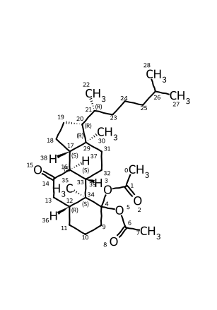 CC(=O)OC1(OC(C)=O)CCC[C@@H]2CC(=O)[C@H]3[C@@H]4CC[C@H]([C@H](C)CCCC(C)C)[C@@]4(C)CC[C@@H]3[C@]21C